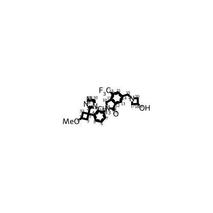 COC1CC(c2cccc(N3Cc4c(cc(CN5CC(O)C5)cc4C(F)(F)F)C3=O)c2)(c2nncn2C)C1